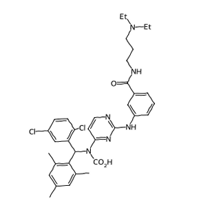 CCN(CC)CCCNC(=O)c1cccc(Nc2nccc(N(C(=O)O)C(c3cc(Cl)ccc3Cl)c3c(C)cc(C)cc3C)n2)c1